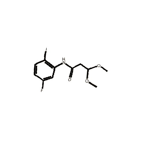 COC(CC(=O)Nc1cc(F)ccc1I)OC